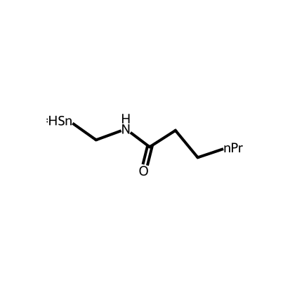 CCCCCC(=O)N[CH2][SnH]